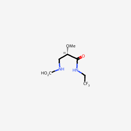 CO[C@@H](CNC(=O)O)C(=O)NCC(F)(F)F